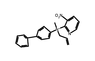 C=CC[N+](C)(c1ccc(-c2ccccc2)cc1)c1ncccc1[N+](=O)[O-]